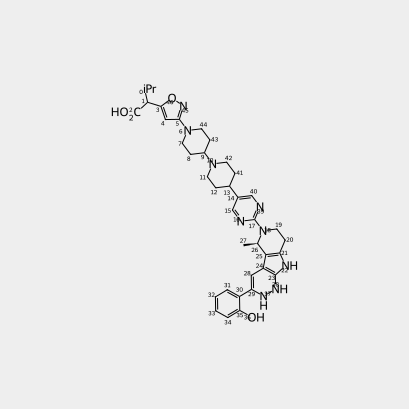 CC(C)C(C(=O)O)c1cc(N2CCC(N3CCC(c4cnc(N5CCc6[nH]c7c(c6[C@H]5C)C=C(c5ccccc5O)NN7)nc4)CC3)CC2)no1